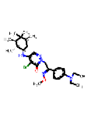 CCN(CC)c1ccc(C(Cn2ncc(N[C@@H]3C[C@H](C)C(C)(C)[C@H](C)[C@H]3C)c(Br)c2=O)=NOC)cc1